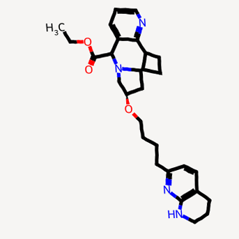 CCOC(=O)C(c1cccnc1C1CCC1)N1CC[C@@H](OCCCCc2ccc3c(n2)NCCC3)C1